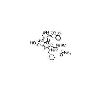 CC(=O)N[C@@H](CCC(N)=O)C(=O)N[C@@H](CC1CCCCC1)C(=O)N(C)[C@@H](CC(=O)O)C(=O)N[C@@H](CC(C)C)C(=O)N[C@@H](Cc1ccccc1)C(=O)O